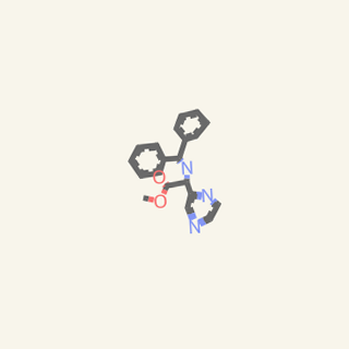 COC(=O)C(N=C(c1ccccc1)c1ccccc1)c1cnccn1